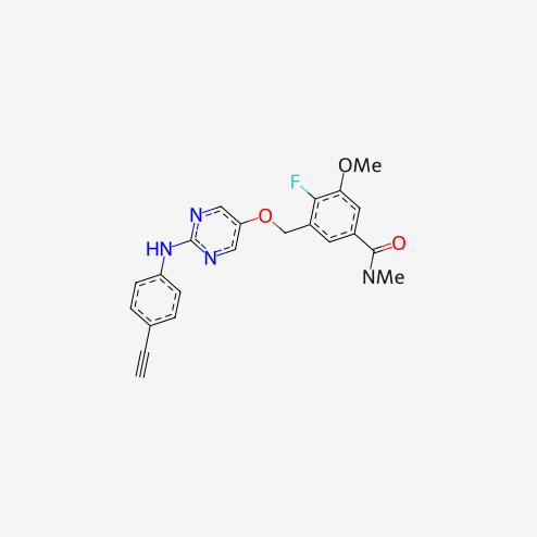 C#Cc1ccc(Nc2ncc(OCc3cc(C(=O)NC)cc(OC)c3F)cn2)cc1